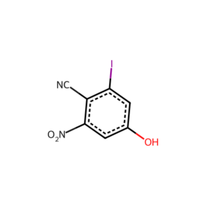 N#Cc1c(I)cc(O)cc1[N+](=O)[O-]